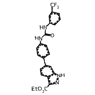 CCOC(=O)c1n[nH]c2cc(-c3ccc(NC(=O)Nc4cccc(C(F)(F)F)c4)cc3)ccc12